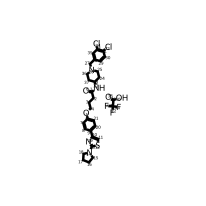 O=C(CCCOc1ccc(-c2csc(N3CCCC3)n2)cc1)NC1CCN(Cc2ccc(Cl)c(Cl)c2)CC1.O=C(O)C(F)(F)F